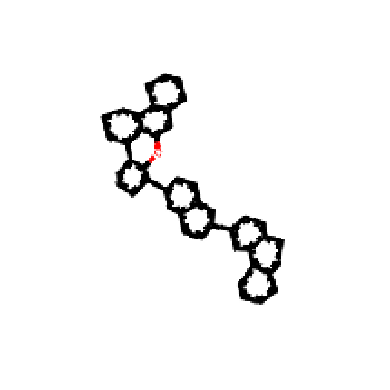 c1cc(-c2ccc3cc(-c4ccc5ccc6ccccc6c5c4)ccc3c2)c2c(c1)-c1cccc3c1c(cc1ccccc13)O2